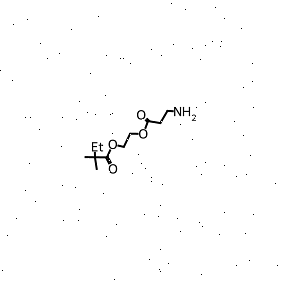 CCC(C)(C)C(=O)OCCOC(=O)CCN